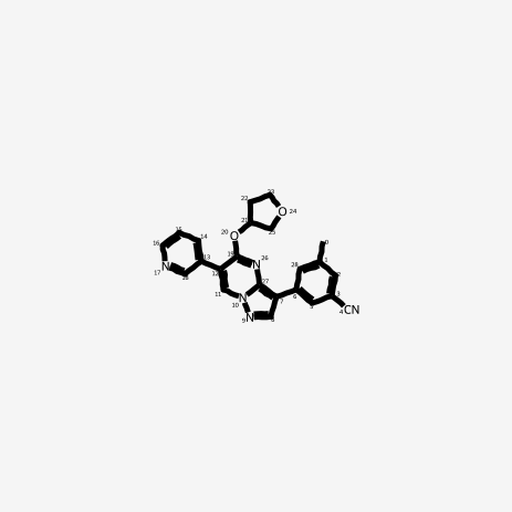 Cc1cc(C#N)cc(-c2cnn3cc(-c4cccnc4)c(OC4CCOC4)nc23)c1